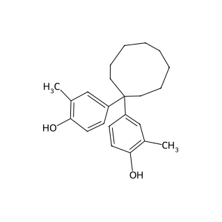 Cc1cc(C2(c3ccc(O)c(C)c3)CCCCCCCC2)ccc1O